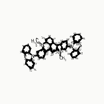 CN1c2cc(N3c4ccccc4Sc4ccccc43)ccc2-c2cc3c(c4cccc1c24)c1ccc(N2c4ccccc4Sc4ccccc42)cc1n3C